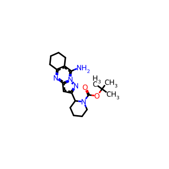 CC(C)(C)OC(=O)N1CCCCC1c1cc2nc3c(c(N)n2n1)CCCC3